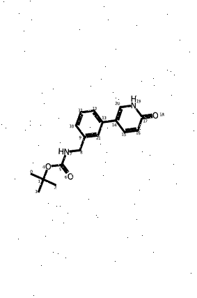 CC(C)(C)OC(=O)NCc1cccc(-c2ccc(=O)[nH]c2)c1